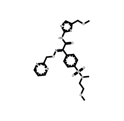 COCCN(C)S(=O)(=O)c1ccc(/C(=N\OCc2ncccn2)C(=O)Nc2ncc(COC)s2)cc1